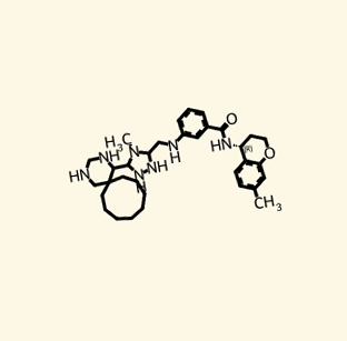 Cc1ccc2c(c1)OCC[C@H]2NC(=O)c1cccc(NCC2NNC(C3NCNCC34CCCCCCCC4)N2C)c1